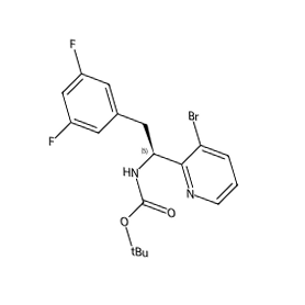 CC(C)(C)OC(=O)N[C@@H](Cc1cc(F)cc(F)c1)c1ncccc1Br